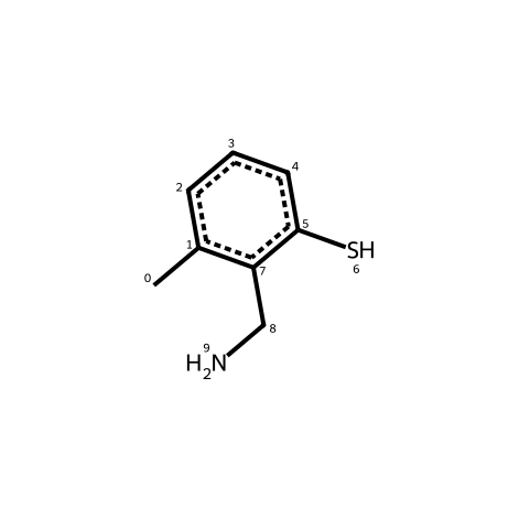 Cc1cccc(S)c1CN